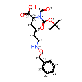 CC(C)(C)OC(=O)N(C=O)[C@@H](CCCCNOCc1ccccc1)C(=O)O